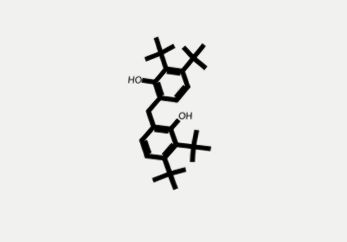 CC(C)(C)c1ccc(Cc2ccc(C(C)(C)C)c(C(C)(C)C)c2O)c(O)c1C(C)(C)C